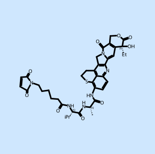 CC[C@@]1(O)C(=O)OCc2c1cc1n(c2=O)Cc2c-1nc1ccc(NC(=O)[C@H](C)NC(=O)[C@@H](NC(=O)CCCCCN3C(=O)C=CC3=O)C(C)C)c3c1c2CCS3